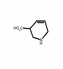 O=C(O)C1C=CCNC1